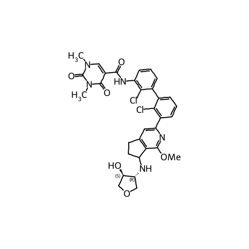 COc1nc(-c2cccc(-c3cccc(NC(=O)c4cn(C)c(=O)n(C)c4=O)c3Cl)c2Cl)cc2c1C(N[C@@H]1COC[C@H]1O)CC2